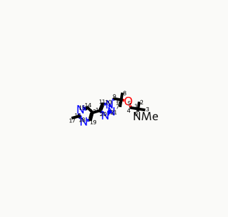 CNC(C)(C)COC(C)(C)Cn1cc(-c2cnc(C)nc2)nn1